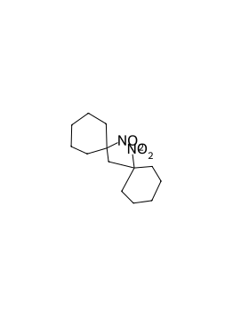 O=[N+]([O-])C1(CC2([N+](=O)[O-])CCCCC2)CCCCC1